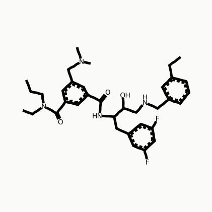 CCCN(CC)C(=O)c1cc(CN(C)C)cc(C(=O)NC(Cc2cc(F)cc(F)c2)C(O)CNCc2cccc(CC)c2)c1